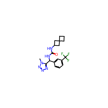 Cn1nnnc1C(NC(=O)NC1CC2(CCC2)C1)c1cccc(C(F)(F)F)c1